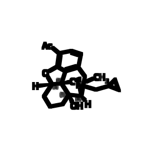 CC(=O)c1ccc2c3c1O[C@H]1CCC[C@@]4(O)[C@@H](C2)[N+](C)(CC2CC2)CC[C@]314